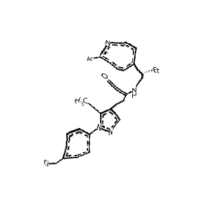 CC[C@H](NC(=O)c1cnn(-c2ccc(Cl)cc2)c1C)c1ccnc(C(C)=O)c1